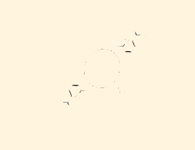 O=C(O)c1cccc(CN2CCOCCOCCN(Cc3cccc(C(=O)O)n3)CCO[C@H](CO)COCC2)n1